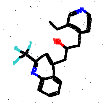 CCc1cnccc1CC(O)Cc1cc(C(F)(F)F)nc2ccccc12